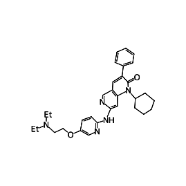 CCN(CC)CCOc1ccc(Nc2cc3c(cn2)cc(-c2ccccc2)c(=O)n3C2CCCCC2)nc1